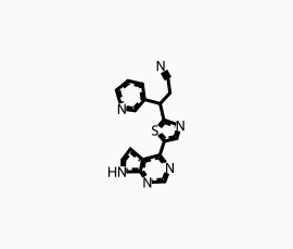 N#CCC(c1cccnc1)c1ncc(-c2ncnc3[nH]ccc23)s1